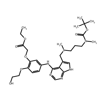 CCOC(=O)COc1cc(Nc2ncnc3[nH]cc(CN(C)CCCN(C)C(=O)OC(C)(C)C)c23)ccc1OCCO